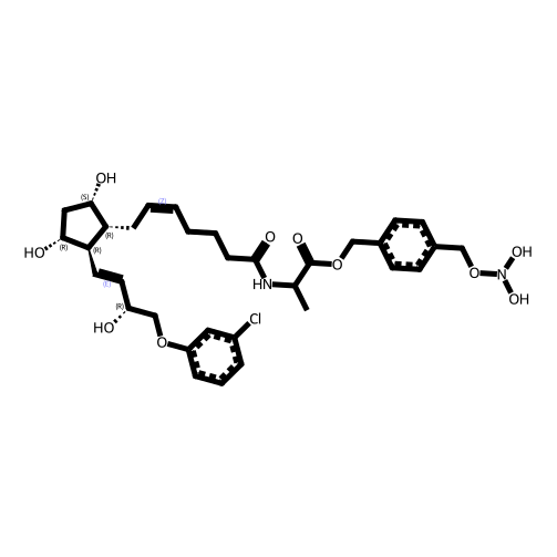 CC(NC(=O)CCC/C=C\C[C@@H]1[C@@H](/C=C/[C@@H](O)COc2cccc(Cl)c2)[C@H](O)C[C@@H]1O)C(=O)OCc1ccc(CON(O)O)cc1